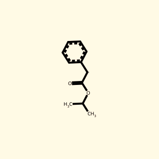 CC(C)OC(=O)[CH]c1ccccc1